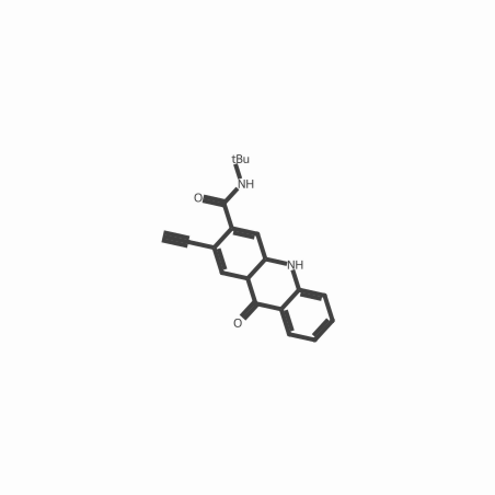 C#CC1=CC2C(=O)c3ccccc3NC2C=C1C(=O)NC(C)(C)C